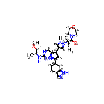 COC[C@H](C)Nc1ncc2c(-c3cnn(C(C)(C)C(=O)N4CCOCC4)c3)cc(C3CCc4cn[nH]c4C3)n2n1